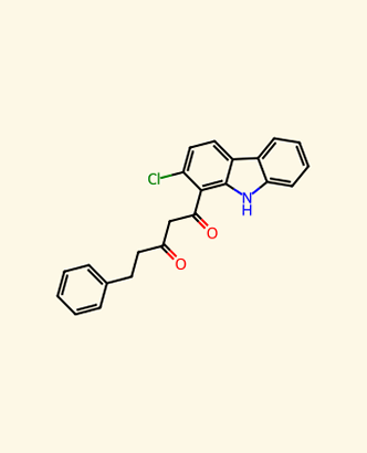 O=C(CCc1ccccc1)CC(=O)c1c(Cl)ccc2c1[nH]c1ccccc12